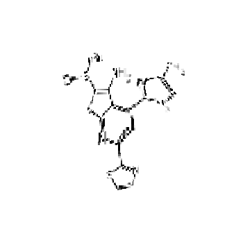 CCCC[S+]([O-])c1sc2nc(-c3nccs3)cc(-c3nc(C)cs3)c2c1N